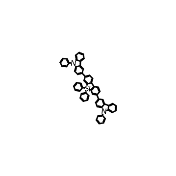 c1ccc(-n2c3ccccc3c3cc(-c4ccc5c(c4)[Si](c4ccccc4)(c4ccccc4)c4cc(-c6ccc7c(c6)c6ccccc6n7-c6ccccc6)ccc4-5)ccc32)cc1